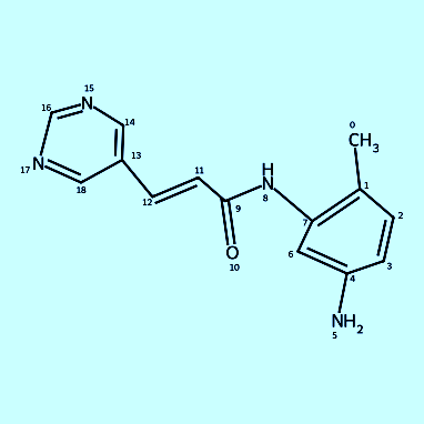 Cc1ccc(N)cc1NC(=O)C=Cc1cncnc1